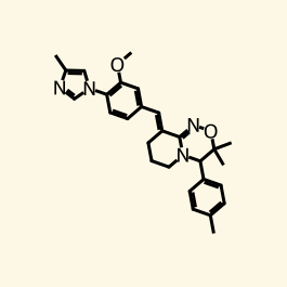 COc1cc(/C=C2\CCCN3C2=NOC(C)(C)C3c2ccc(C)cc2)ccc1-n1cnc(C)c1